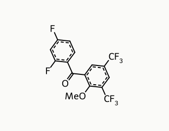 COc1c(C(=O)c2ccc(F)cc2F)cc(C(F)(F)F)cc1C(F)(F)F